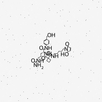 NC(=O)NCCC[C@H](NC(=O)C1(C(=O)NCCCCCN2C(=O)C=CC2O)CCC1)C(=O)Nc1ccc(CO)cc1